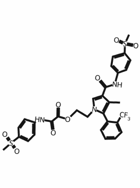 Cc1c(C(=O)Nc2ccc(S(C)(=O)=O)cc2)cn(CCOC(=O)C(=O)Nc2ccc(S(C)(=O)=O)cc2)c1-c1ccccc1C(F)(F)F